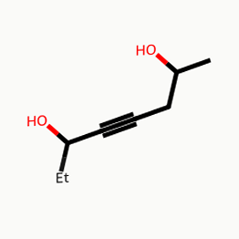 CCC(O)C#CCC(C)O